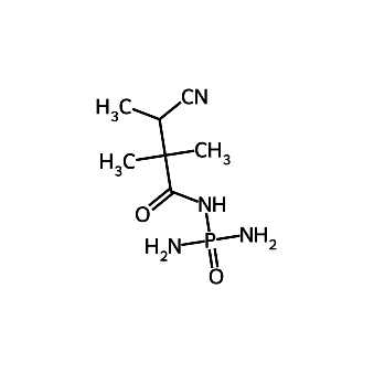 CC(C#N)C(C)(C)C(=O)NP(N)(N)=O